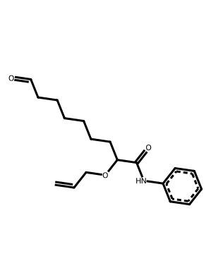 C=CCOC(CCCCCCC=O)C(=O)Nc1ccccc1